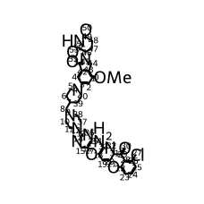 COc1cc(N2CCC(CN3CCN(c4ncc(Oc5cc6oc7cccc(Cl)c7c(=O)c6nc5N)cn4)CC3)CC2)cc2c1CN(C1CCC(=O)NC1=O)C2=O